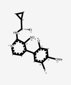 CC[C@H](Nc1nccc(-c2cc(F)c(OC)cc2Cl)c1[N+](=O)[O-])C1CC1